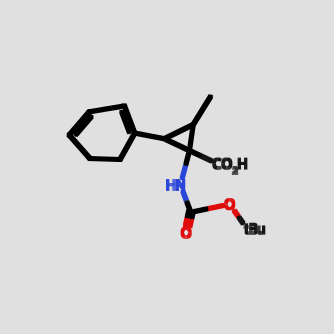 CC1C(C2=CC=CCC2)C1(NC(=O)OC(C)(C)C)C(=O)O